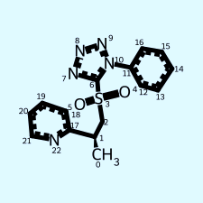 C[C@H](CS(=O)(=O)c1nnnn1-c1ccccc1)c1ccccn1